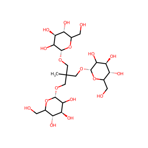 CC(CO[C@H]1OC(CO)[C@@H](O)[C@H](O)C1O)(CO[C@H]1OC(CO)[C@@H](O)[C@H](O)C1O)CO[C@H]1OC(CO)[C@@H](O)[C@H](O)C1O